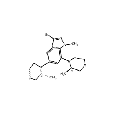 C[C@@H]1COCCN1c1cc(N2CCOC[C@H]2C)c2c(n1)c(Br)nn2C